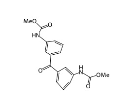 COC(=O)Nc1cccc(C(=O)c2cccc(NC(=O)OC)c2)c1